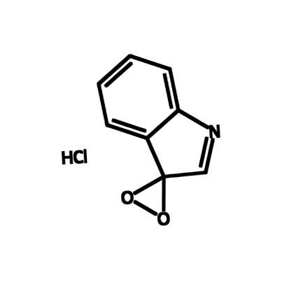 C1=Nc2ccccc2C12OO2.Cl